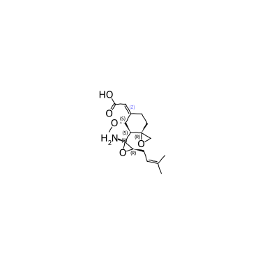 CO[C@@H]1/C(=C\C(=O)O)CC[C@]2(CO2)[C@H]1[C@@]1(N)O[C@@H]1CC=C(C)C